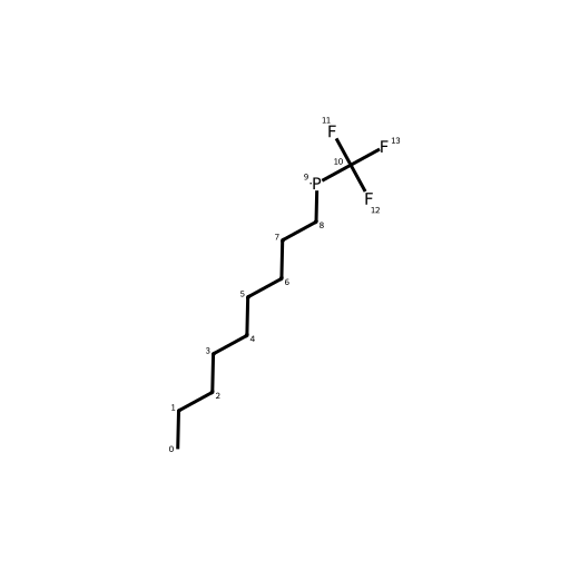 CCCCCCCCC[P]C(F)(F)F